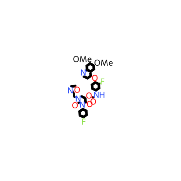 COc1cc2nccc(Oc3ccc(NC(=O)Oc4cn(Cc5ncco5)c(=O)n(-c5ccc(F)cc5)c4=O)cc3F)c2cc1OC